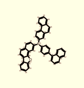 c1ccc2c(-c3ccc(N(c4ccc5c(ccc6ccccc65)c4)c4ccc5ccc6c7ccccc7oc6c5c4)cc3)cccc2c1